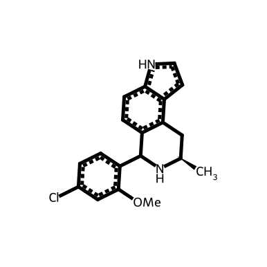 COc1cc(Cl)ccc1C1N[C@H](C)Cc2c1ccc1[nH]ccc21